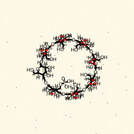 O=P(O)(O)OC[C@H]1O[C@@H]2O[C@H]3[C@H](O)[C@@H](O)[C@@H](O[C@H]4[C@H](O)[C@@H](O)[C@@H](O[C@H]5[C@H](O)[C@@H](O)[C@@H](O[C@H]6[C@H](O)[C@@H](O)[C@@H](O[C@H]7[C@H](O)[C@@H](O)[C@@H](O[C@H]8[C@H](O)[C@@H](O)[C@@H](O[C@H]9[C@H](O)[C@@H](O)[C@@H](O[C@H]1[C@H](O)[C@H]2O)O[C@@H]9CO)O[C@@H]8CO)O[C@@H]7CO)O[C@@H]6CO)O[C@@H]5CO)O[C@@H]4CO)O[C@@H]3CO